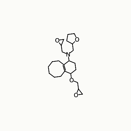 C1CCCC2=C(CC1)C(OCC1CO1)CCC2N(CC1CCCO1)CC1CO1